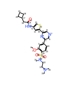 COc1cc(-c2cncc(-c3cc(NC(=O)CC4CCC4)cs3)n2)ccc1S(=O)(=O)N(C)CCN(C)C